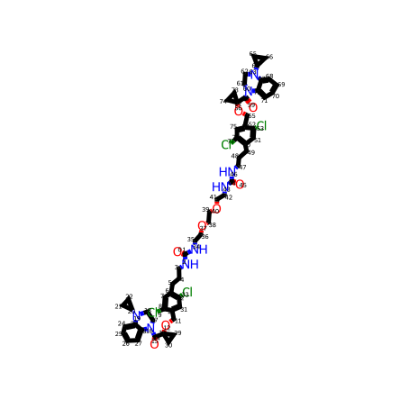 O=C(NCCCc1cc(Cl)c(COC2(C(=O)N3CCN(C4CC4)c4ccccc43)CC2)cc1Cl)NCCOCCOCCNC(=O)NCCCc1cc(Cl)c(COC2(C(=O)N3CCN(C4CC4)c4ccccc43)CC2)cc1Cl